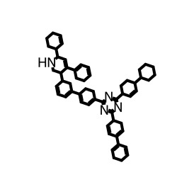 C1=CCCC(C2=CC(C3C=CCCC3)NCC2C2C=CC=C(C3=CC=C(c4nc(C5C=CC(C6=CCCC=C6)=CC5)nc(C5C=CC(C6CCCCC6)CC5)n4)CC3)C2)=C1